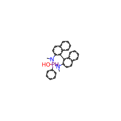 CN1c2ccc3ccccc3c2-c2c(ccc3ccccc23)N(C)[PH]1(O)c1ccccc1